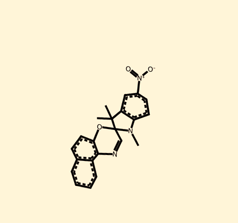 CN1c2ccc([N+](=O)[O-])cc2C(C)(C)C12C=Nc1c(ccc3ccccc13)O2